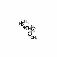 Cc1cccc(-c2nccnc2N2CCN(Cc3cnn(C)c3)CC2)c1